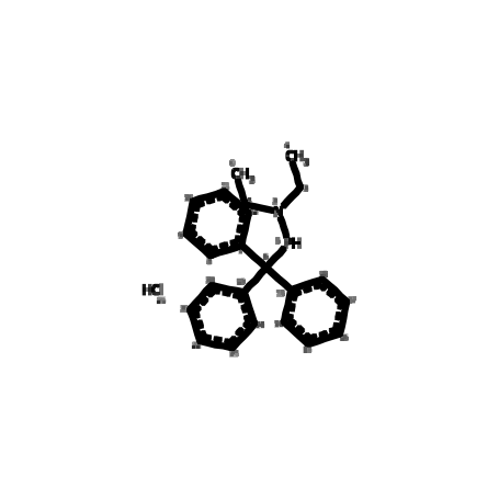 CCN(CC)PC(c1ccccc1)(c1ccccc1)c1ccccc1.Cl